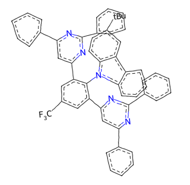 CC(C)(C)c1ccc2c(c1)c1ccccc1n2-c1c(-c2cc(-c3ccccc3)nc(-c3ccccc3)n2)cc(C(F)(F)F)cc1-c1cc(-c2ccccc2)nc(-c2ccccc2)n1